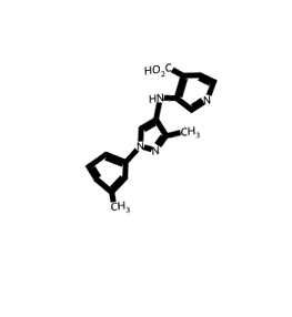 Cc1cccc(-n2cc(Nc3cnccc3C(=O)O)c(C)n2)c1